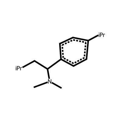 CC(C)CC(c1ccc(C(C)C)cc1)N(C)C